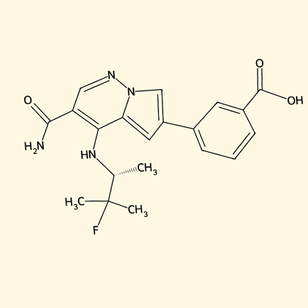 C[C@@H](Nc1c(C(N)=O)cnn2cc(-c3cccc(C(=O)O)c3)cc12)C(C)(C)F